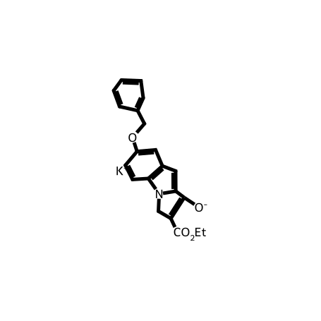 CCOC(=O)C1=C([O-])c2cc3cc(OCc4ccccc4)ccc3n2C1.[K+]